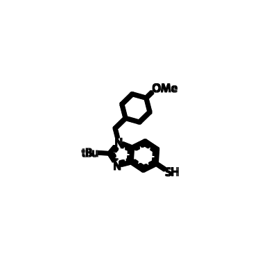 COC1CCC(Cn2c(C(C)(C)C)nc3cc(S)ccc32)CC1